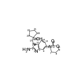 Nc1nc2cc(N3CCCOC3=O)ccc2n1CC1(O)CCCC1